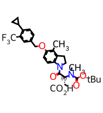 Cc1c(OCc2ccc(C3CC3)c(C(F)(F)F)c2)ccc2c1CCN2C(=O)[C@@H](CC(=O)O)N(C)C(=O)OC(C)(C)C